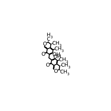 CC1=C2C(=CO[C@H](C)[C@H]2C)C(=O)C(CC2=C(O)C(C)=C3C(=CO[C@H](C)[C@H]3C)C2=O)=C1O